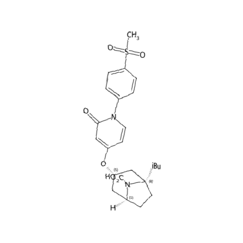 CCC(C)[C@@]12CC[C@@H](C[C@H](Oc3ccn(-c4ccc(S(C)(=O)=O)cc4)c(=O)c3)C1)N2C(=O)O